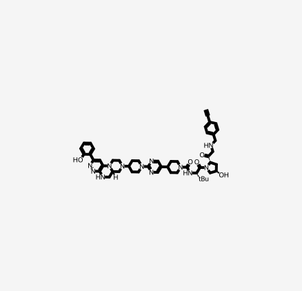 C#Cc1ccc(CNCC(=O)[C@@H]2C[C@@H](O)CN2C(=O)[C@@H](NC(=O)N2CCC(c3cnc(N4CCC(N5CCN6c7cc(-c8ccccc8O)nnc7NC[C@H]6C5)CC4)nc3)CC2)C(C)(C)C)cc1